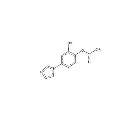 CC(=O)Oc1ccc(-n2ccnc2)cc1O